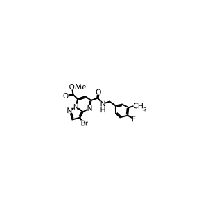 COC(=O)c1cc(C(=O)NCc2ccc(F)c(C)c2)nc2c(Br)cnn12